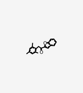 Cc1cc(C)c(CC(=O)c2cc3ccccc3o2)c(C)c1